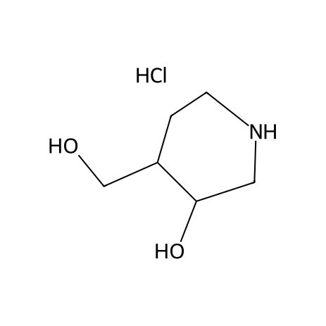 Cl.OCC1CCNCC1O